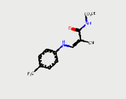 CCOC(=O)NC(=O)/C(C#N)=C\Nc1ccc(C(F)(F)F)cc1